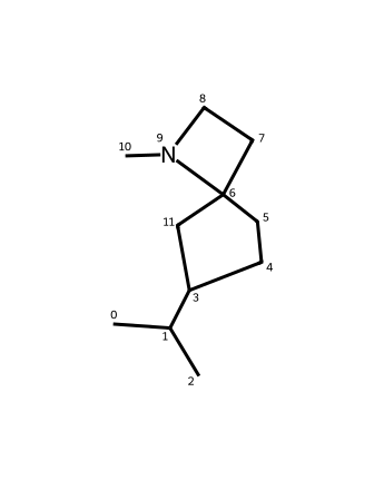 CC(C)C1CCC2(CCN2C)C1